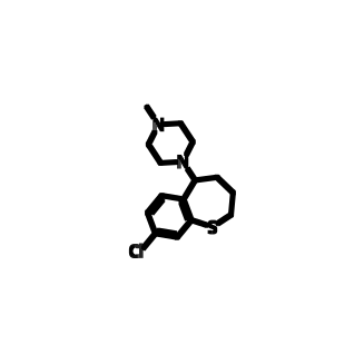 CN1CCN(C2CCCSc3cc(Cl)ccc32)CC1